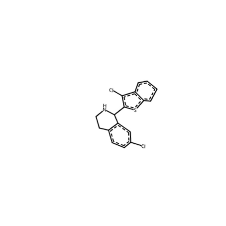 Clc1ccc2c(c1)C(c1sc3ccccc3c1Cl)NCC2